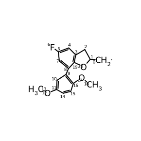 [CH2]C1Cc2cc(F)cc(-c3cc(OC)ccc3OC)c2O1